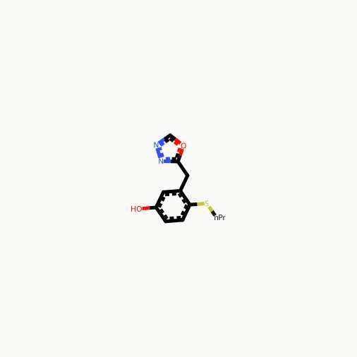 CCCSc1ccc(O)cc1Cc1nnco1